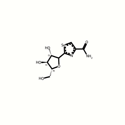 NC(=O)c1c[se]c(C2O[C@H](CO)[C@@H](O)[C@@H]2O)n1